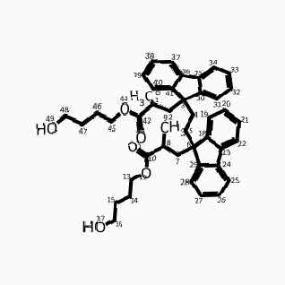 CC(CC1(CCC2(CC(C)C(=O)OCCCCO)c3ccccc3-c3ccccc32)c2ccccc2-c2ccccc21)C(=O)OCCCCO